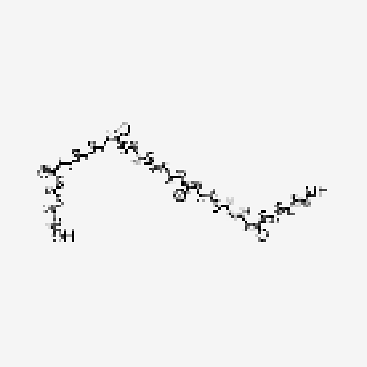 O=C(CCSCSCCC(=O)SCSCSCO)SCCSCSCC[S+]([O-])CCCSCSCCC(=O)SCSCSCO